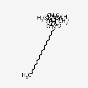 CCCCCCCCCCCCCCCCCCCCN1C(=O)c2[c]([Sn]([CH3])([CH3])[CH3])s[c]([Sn]([CH3])([CH3])[CH3])c2C1=O